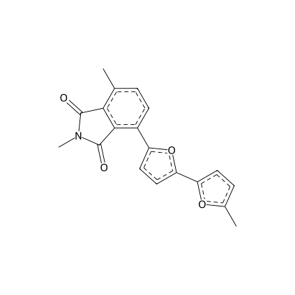 Cc1ccc(-c2ccc(-c3ccc(C)c4c3C(=O)N(C)C4=O)o2)o1